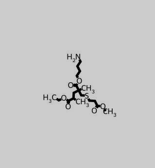 CCOC(=O)C(C)CC(C)(CSCCC(=O)OC)C(=O)OCCCCN